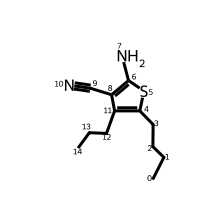 CCCCc1sc(N)c(C#N)c1CCC